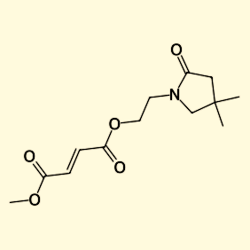 COC(=O)/C=C/C(=O)OCCN1CC(C)(C)CC1=O